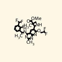 COC(=O)C1(C)CNC1c1cc2c(N[C@H](C)c3cccc(C(F)F)c3F)nc(C)nc2nc1OCC(F)F